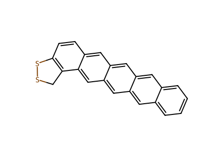 c1ccc2cc3cc4cc5c6c(ccc5cc4cc3cc2c1)SSC6